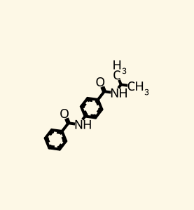 CC(C)NC(=O)c1ccc(NC(=O)c2ccccc2)cc1